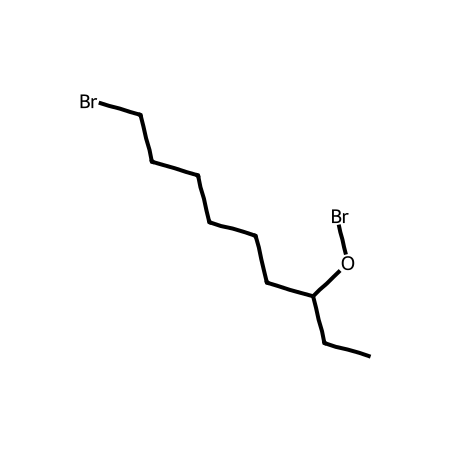 CCC(CCCCCCBr)OBr